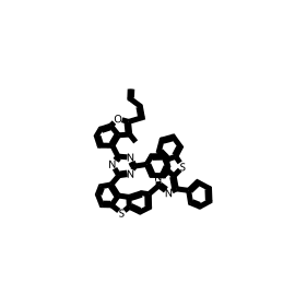 C=C/C=C\c1oc2cccc(-c3nc(-c4ccccc4)nc(-c4cccc5sc6ccc(-c7nc(-c8ccccc8)c8sc9ccccc9c8n7)cc6c45)n3)c2c1C